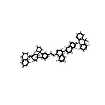 CC1(C)c2ccccc2N(c2ccc3cc(-c4ccc(/C=C/c5ccc6c(c5)C5(CCCC5)C5C=C(N7CCCc8ccccc87)C=CC65)c5ccccc45)ccc3c2)c2ccccc21